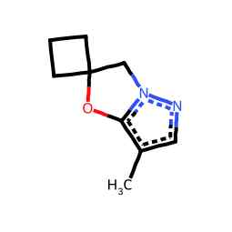 Cc1cnn2c1OC1(CCC1)C2